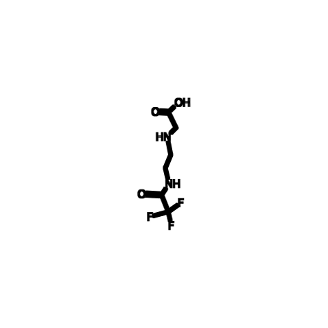 O=C(O)CNCCNC(=O)C(F)(F)F